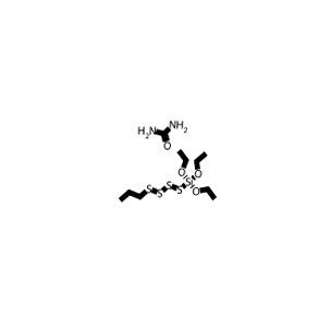 CCCSSSS[Si](OCC)(OCC)OCC.NC(N)=O